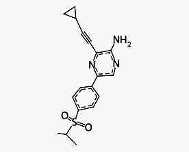 CC(C)S(=O)(=O)c1ccc(-c2cnc(N)c(C#CC3CC3)n2)cc1